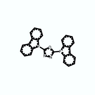 c1ccc2c(c1)c1ccccc1p2-c1nnc(-p2c3ccccc3c3ccccc32)o1